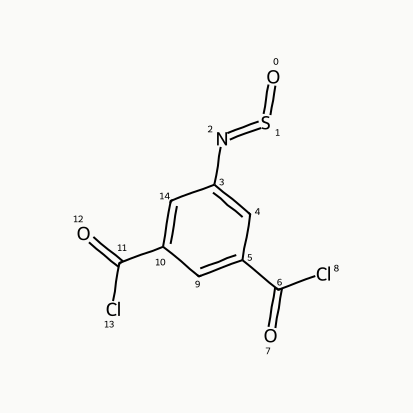 O=S=Nc1cc(C(=O)Cl)cc(C(=O)Cl)c1